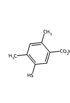 Cc1cc(C)c(C(=O)O)cc1S